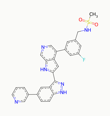 CS(=O)(=O)NCc1cc(F)cc(-c2cncc3[nH]c(-c4n[nH]c5ccc(-c6cccnc6)cc45)cc23)c1